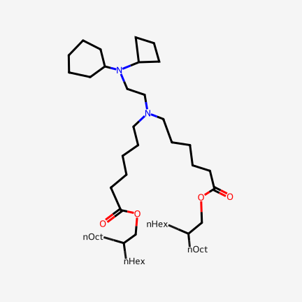 CCCCCCCCC(CCCCCC)COC(=O)CCCCCN(CCCCCC(=O)OCC(CCCCCC)CCCCCCCC)CCN(C1CCCCC1)C1CCC1